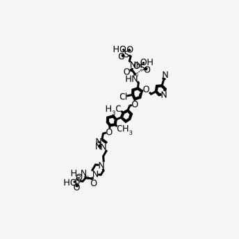 Cc1c(COc2cc(OCc3cncc(C#N)c3)c(CN[C@@H](CS(=O)(=O)O)C(=O)NCCS(=O)(=O)O)cc2Cl)cccc1-c1cccc(OCc2cn(CCCN3CCN(C(=O)[C@@H](N)CS(=O)(=O)O)CC3)nn2)c1C